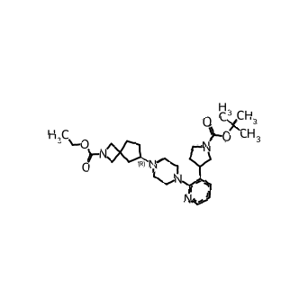 CCOC(=O)N1CC2(CC[C@@H](N3CCN(c4ncccc4C4CCN(C(=O)OC(C)(C)C)C4)CC3)C2)C1